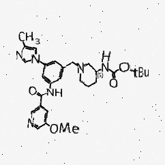 COc1cncc(C(=O)Nc2cc(CN3CCC[C@H](NC(=O)OC(C)(C)C)C3)cc(-n3cnc(C)c3)c2)c1